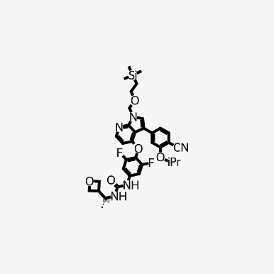 CC(C)Oc1cc(-c2cn(COCC[Si](C)(C)C)c3nccc(Oc4c(F)cc(NC(=O)N[C@H](C)C5COC5)cc4F)c23)ccc1C#N